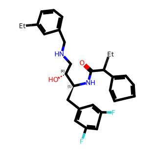 CCc1cccc(CNC[C@@H](O)[C@H](Cc2cc(F)cc(F)c2)NC(=O)C(CC)c2ccccc2)c1